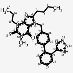 CCCCc1nc2c(c(=O)n(C)c(=S)n2CCC)n1Cc1ccc(-c2ccccc2-c2nnn[nH]2)cc1